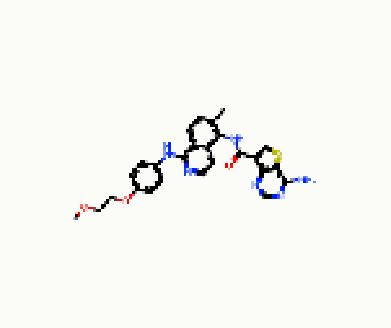 COCCOc1ccc(Nc2nccc3c(NC(=O)c4csc5c(N)ncnc45)c(C)ccc23)cc1